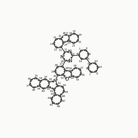 c1ccc(-c2cccc(-c3nc(-c4cccc5sc6ccccc6c45)nc(-c4ccc(-n5c6cc7ccccc7cc6c6c7ccccc7ccc65)c5oc6ccccc6c45)n3)c2)cc1